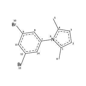 Cc1ccc(C)n1-c1cc(Br)cc(Br)c1